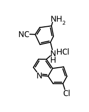 Cl.N#Cc1cc(N)cc(Nc2ccnc3cc(Cl)ccc23)c1